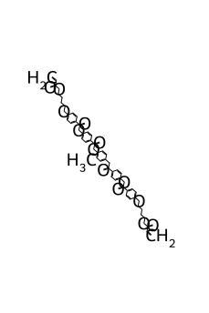 C=CC(=O)OCCCCOc1ccc(C(=O)Oc2ccc(C(=O)Cc3ccc(OC(=O)c4ccc(OC(=O)c5ccc(OCCCCOC(=O)C=C)cc5)cc4)c(C)c3)cc2)cc1